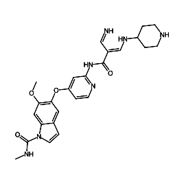 CNC(=O)n1ccc2cc(Oc3ccnc(NC(=O)/C(C=N)=C/NC4CCNCC4)c3)c(OC)cc21